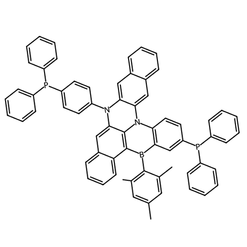 Cc1cc(C)c(B2c3cc(P(c4ccccc4)c4ccccc4)ccc3N3c4cc5ccccc5cc4N(c4ccc(P(c5ccccc5)c5ccccc5)cc4)c4cc5ccccc5c2c43)c(C)c1